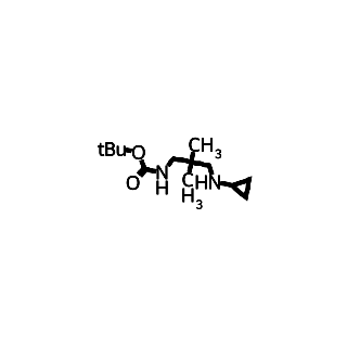 CC(C)(CNC(=O)OC(C)(C)C)CNC1CC1